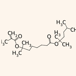 C=C(C)C(=O)OC(C)(C)CCCCCC(=O)OC(C)(C)CCC(C)C